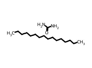 CCCCCCCCCCCCCCCC.NC(N)=O